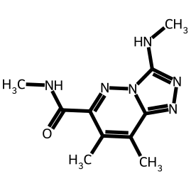 CNC(=O)c1nn2c(NC)nnc2c(C)c1C